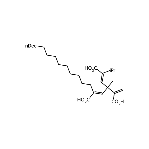 C=C(C(=O)O)C(C)(C=C(CCCCCCCCCCCCCCCCCCC)C(=O)O)C=C(C(=O)O)C(C)C